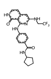 O=C(NC1CCCC1)c1ccc(Nc2nc(NCC(F)(F)F)cc3cc[nH]c(=O)c23)cc1